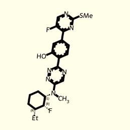 CC[C@@H]1CCC[C@H](N(C)c2cnc(-c3ccc(-c4nc(SC)ncc4F)cc3O)nn2)[C@@H]1F